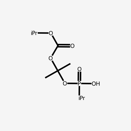 CC(C)OC(=O)OC(C)(C)OP(=O)(O)C(C)C